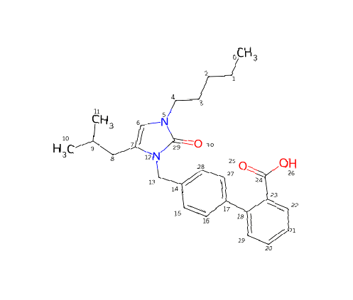 CCCCCn1cc(CC(C)C)n(Cc2ccc(-c3ccccc3C(=O)O)cc2)c1=O